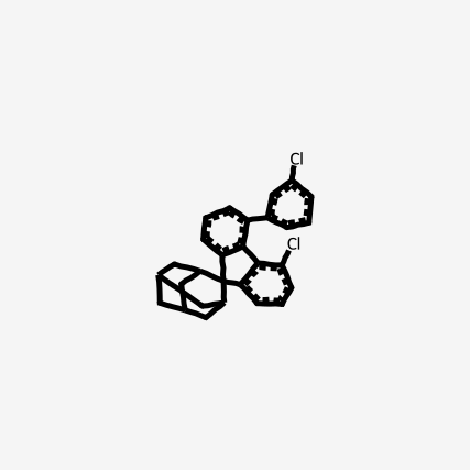 Clc1cccc(-c2cccc3c2-c2c(Cl)cccc2C32C3CC4CC(C3)CC2C4)c1